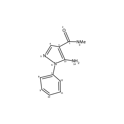 CNC(=O)c1cnn(-c2ccccc2)c1N